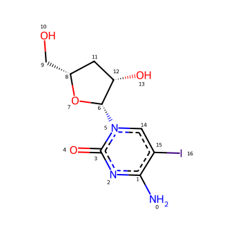 Nc1nc(=O)n([C@@H]2O[C@H](CO)C[C@@H]2O)cc1I